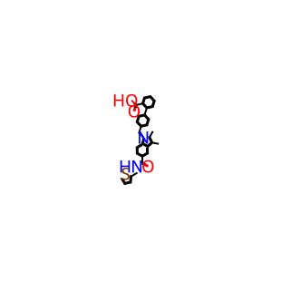 Cc1c(C)n(Cc2ccc(-c3ccccc3C(=O)O)cc2)c2ccc(C(=O)NCc3cccs3)cc12